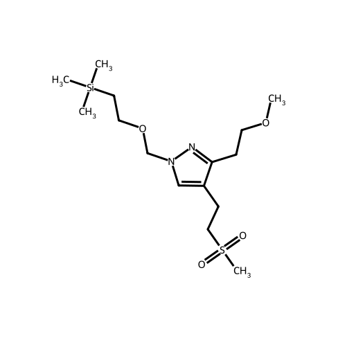 COCCc1nn(COCC[Si](C)(C)C)cc1CCS(C)(=O)=O